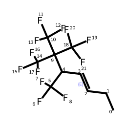 CC/C=C/C(C(F)(F)F)C(C(F)(F)F)(C(F)(F)F)C(F)(F)F